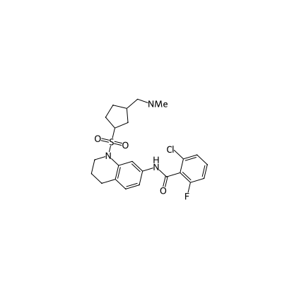 CNCC1CCC(S(=O)(=O)N2CCCc3ccc(NC(=O)c4c(F)cccc4Cl)cc32)C1